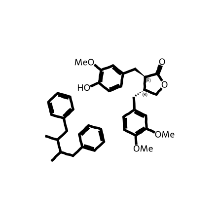 CC(Cc1ccccc1)C(C)Cc1ccccc1.COc1cc(C[C@H]2C(=O)OC[C@@H]2Cc2ccc(OC)c(OC)c2)ccc1O